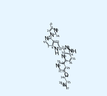 Cc1cn(-c2nccc3[nH]c(-c4n[nH]c5ccc(-c6cncc(OCCN(C)C)c6)nc45)cc23)cn1